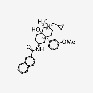 COc1cccc([C@@]23CC[N@+](C)(CC4CC4)CC2(O)CC[C@H](NC(=O)c2ccc4ccccc4c2)C3)c1